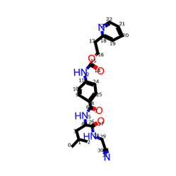 CC(C)CC(NC(=O)c1ccc(NC(=O)OCCc2ccccn2)cc1)C(=O)NCC#N